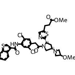 COC(=O)CCc1cnc([C@@H]2C[C@H](N3CC(OC)C3)CN2C(=O)Cc2cc(Cl)c(NC(=O)c3csc4ccccc34)cc2Cl)s1